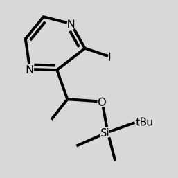 CC(O[Si](C)(C)C(C)(C)C)c1nccnc1I